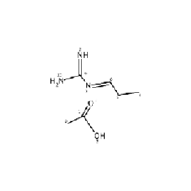 CC(=O)O.CCC=NC(=N)N